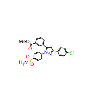 COC(=O)c1cccc(-c2cc(-c3ccc(Cl)cc3)nn2-c2ccc(S(N)(=O)=O)cc2)c1